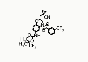 CC(C)(OC(=O)Nc1ccc2c(c1)N(S(=O)(=O)c1cccc(C(F)(F)F)c1)C[C@@H](CC1(C#N)CC1)O2)C(F)(F)F